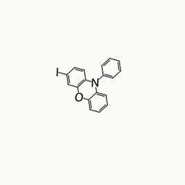 Ic1ccc2c(c1)Oc1ccccc1N2c1ccccc1